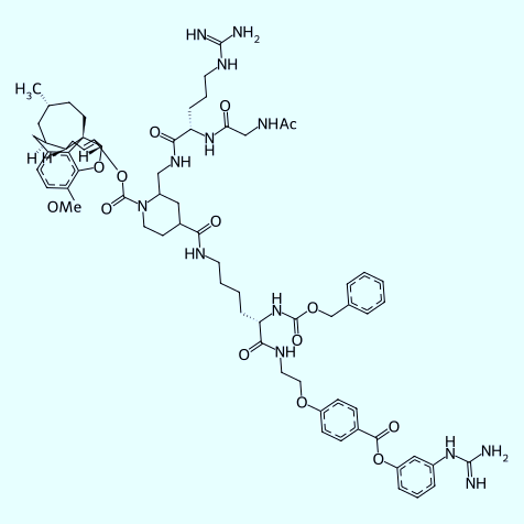 COc1ccc2c3c1O[C@H]1C(OC(=O)N4CCC(C(=O)NCCCC[C@H](NC(=O)OCc5ccccc5)C(=O)NCCOc5ccc(C(=O)Oc6cccc(NC(=N)N)c6)cc5)CC4CNC(=O)[C@H](CCCNC(=N)N)NC(=O)CNC(C)=O)=CC[C@H]4[C@@H](C2)C[C@H](C)CC[C@]314